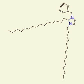 CCCCCCCCCCCCCCCC1N(CCCCCCCCCCCCCC)C=CN1Cc1ccccc1